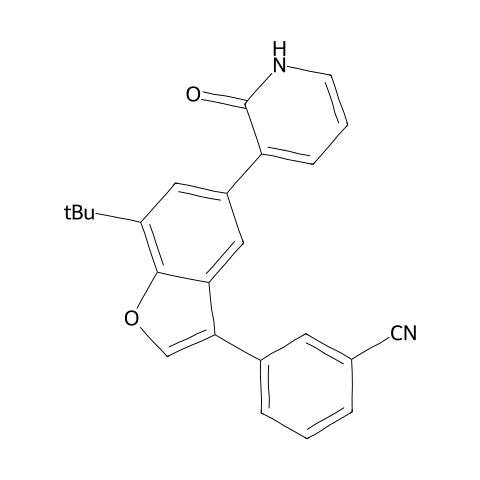 CC(C)(C)c1cc(-c2ccc[nH]c2=O)cc2c(-c3cccc(C#N)c3)coc12